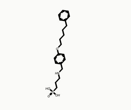 O=P(O)(O)CCCNCc1ccc(OCCCCCc2ccccc2)cc1